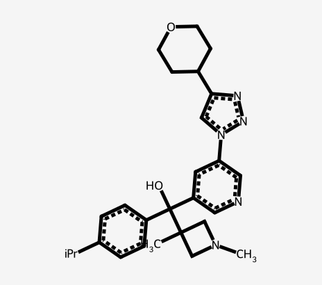 CC(C)c1ccc(C(O)(c2cncc(-n3cc(C4CCOCC4)nn3)c2)C2(C)CN(C)C2)cc1